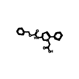 O=C(O)CN1CC(NC(=O)OCc2ccccc2)=CC=C1c1ccccc1